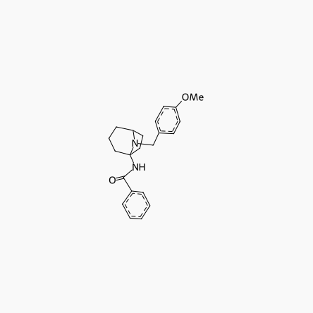 COc1ccc(CN2C3CCCC2(NC(=O)c2ccccc2)CC3)cc1